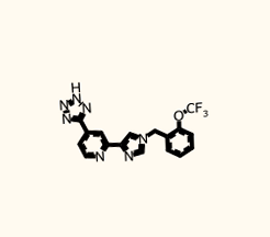 FC(F)(F)Oc1ccccc1Cn1cnc(-c2cc(-c3nn[nH]n3)ccn2)c1